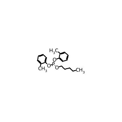 CCCCCOP(Oc1ccccc1C)Oc1ccccc1C